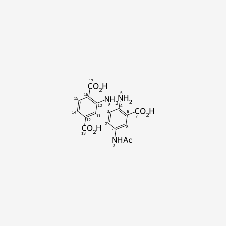 CC(=O)Nc1ccc(N)c(C(=O)O)c1.Nc1cc(C(=O)O)ccc1C(=O)O